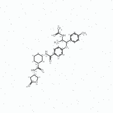 Cc1ccc(C(Oc2ccc(C(=O)N[C@H]3CCCN(C(=O)N[C@@H]4COC(=O)C4)C3)nc2)C(C)NC(=O)C(F)(F)F)cc1